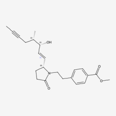 CC#CC[C@H](C)[C@H](O)/C=C/[C@H]1CCC(=O)N1CCc1ccc(C(=O)OC)cc1